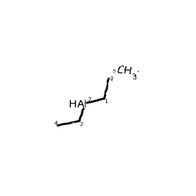 C[CH2][AlH][CH2]C.[CH3]